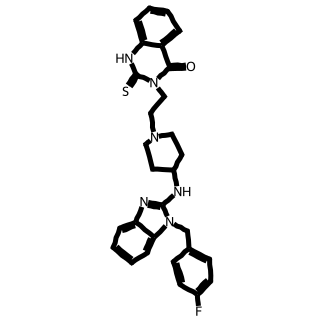 O=c1c2ccccc2[nH]c(=S)n1CCN1CCC(Nc2nc3ccccc3n2Cc2ccc(F)cc2)CC1